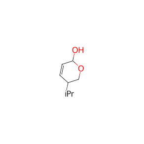 CC(C)C1C=CC(O)OC1